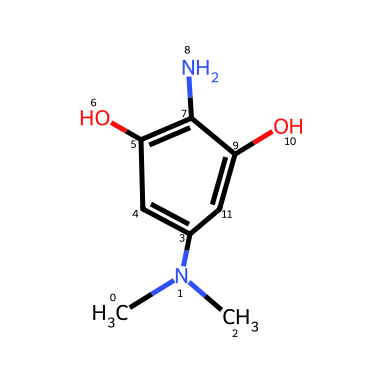 CN(C)c1cc(O)c(N)c(O)c1